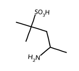 CC(N)CC(C)(C)S(=O)(=O)O